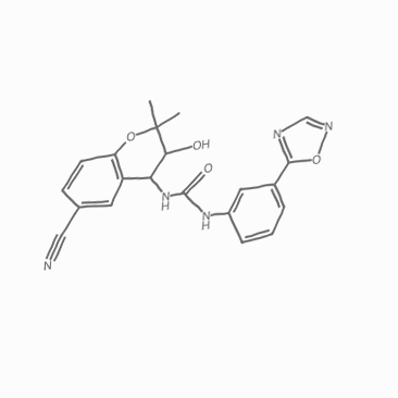 CC1(C)Oc2ccc(C#N)cc2C(NC(=O)Nc2cccc(-c3ncno3)c2)C1O